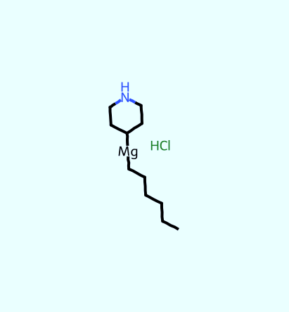 CCCCC[CH2][Mg][CH]1CCNCC1.Cl